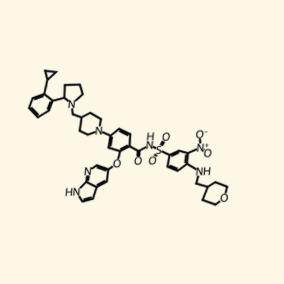 O=C(NS(=O)(=O)c1ccc(NCC2CCOCC2)c([N+](=O)[O-])c1)c1ccc(N2CCC(CN3CCCC3c3ccccc3C3CC3)CC2)cc1Oc1cnc2[nH]ccc2c1